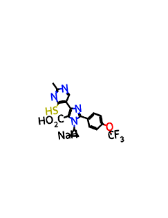 Cc1ncc(-c2nc(-c3ccc(OC(F)(F)F)cc3)n(C3CC3)c2C(=O)O)c(S)n1.[NaH]